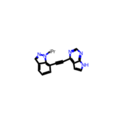 CC(C)n1ncc2cccc(C#Cc3ncnc4[nH]ccc34)c21